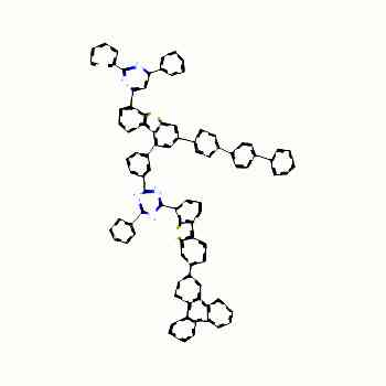 c1ccc(-c2ccc(-c3ccc(-c4cc(-c5cccc(-c6nc(-c7ccccc7)nc(-c7cccc8c7sc7cc(-c9ccc%10c%11ccccc%11c%11ccccc%11c%10c9)ccc78)n6)c5)c5c(c4)sc4c(-c6cc(-c7ccccc7)nc(-c7ccccc7)n6)cccc45)cc3)cc2)cc1